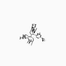 CCn1cc(-c2cc(C)nc3[nH]ncc23)c(-c2ccc(F)cn2)n1